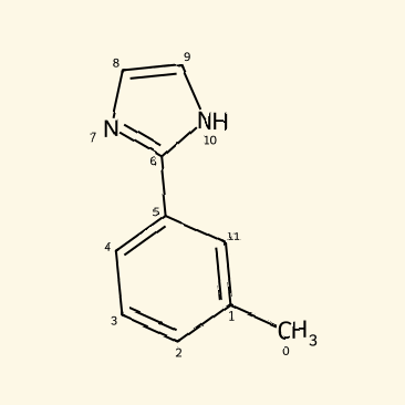 Cc1cccc(-c2ncc[nH]2)c1